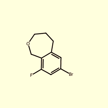 Fc1cc(Br)cc2c1COCCC2